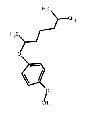 COc1ccc(OC(C)CCCC(C)C)cc1